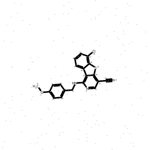 COc1ccc(CNc2ncc(C#N)c3sc4c(Cl)cccc4c23)cc1